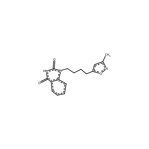 Cc1cc(CCCCn2c(=O)[nH]c(=O)c3ccccc32)on1